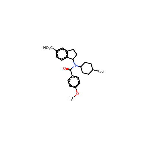 CC(C)(C)C1CCC(N(C(=O)c2ccc(OC(F)(F)F)cc2)C2CCc3cc(C(=O)O)ccc32)CC1